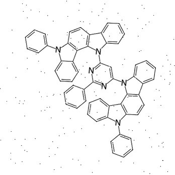 c1ccc(-c2nc(-n3c4ccccc4c4ccc5c(c6ccccc6n5-c5ccccc5)c43)cc(-n3c4ccccc4c4ccc5c(c6ccccc6n5-c5ccccc5)c43)n2)cc1